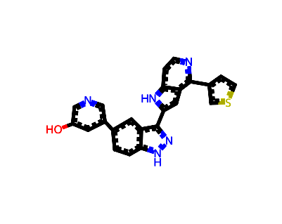 Oc1cncc(-c2ccc3[nH]nc(-c4cc5c(-c6ccsc6)nccc5[nH]4)c3c2)c1